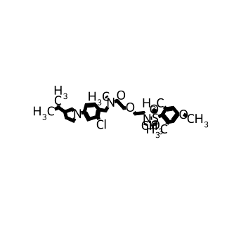 COc1cc(C)c(S(=O)(=O)N(C)CCOCC(=O)N(C)Cc2ccc(N3CCC(C(C)C)C3)cc2Cl)c(C)c1